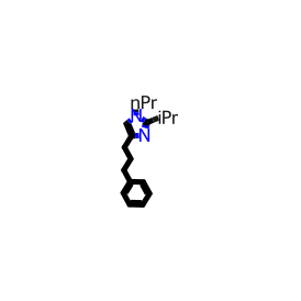 CCCn1cc(CCCc2ccccc2)nc1C(C)C